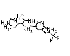 C=C(NCc1cnc2[nH]c(C(F)(F)F)cc2c1)/C(C)=C(CC)\N=C/N